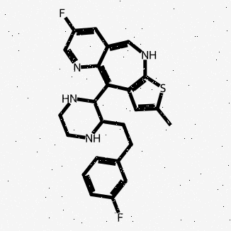 Cc1cc2c(s1)NC=c1cc(F)cnc1=C2C1NCCNC1CCc1cccc(F)c1